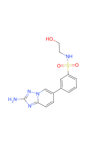 Nc1nc2ccc(-c3cccc(S(=O)(=O)NCCO)c3)cn2n1